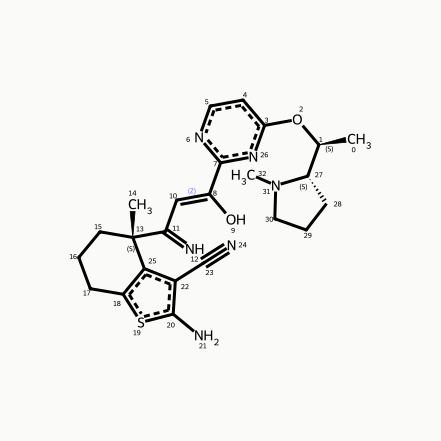 C[C@H](Oc1ccnc(/C(O)=C/C(=N)[C@@]2(C)CCCc3sc(N)c(C#N)c32)n1)[C@@H]1CCCN1C